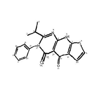 CC(C)c1nc2[nH]c3sccc3c(=O)c2c(=O)n1-c1ccccc1